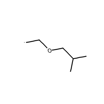 [CH2]COCC(C)C